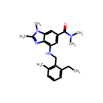 CCc1cccc(C)c1CNc1cc(C(=O)N(C)C)cc2c1nc(C)n2C